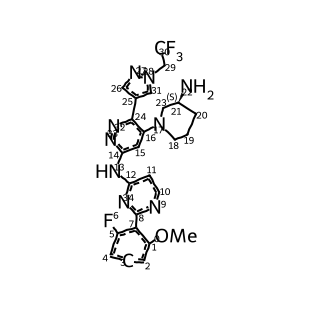 COc1cccc(F)c1-c1nccc(Nc2cc(N3CCC[C@H](N)C3)c(-c3cnn(CC(F)(F)F)c3)nn2)n1